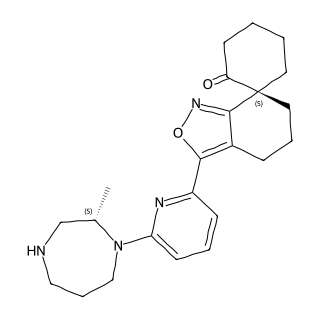 C[C@H]1CNCCCN1c1cccc(-c2onc3c2CCC[C@@]32CCCCC2=O)n1